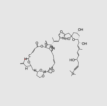 C=C1C[C@@H]2C[C@@H]3CCO[C@@H](O3)c3coc(n3)/C=C/C[C@H]3O[C@@H](/C(C)=C/c4coc(C[C@]5(O)C[C@H](O)C[C@H]([C@H](O)/C=C(C)/C=C/[C@H](O)CC#C[Si](C)(C)C)O5)n4)[C@H](C)[C@@H](OC(=O)/C=C/C[C@@H](C1)O2)[C@H]3C